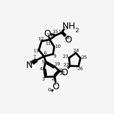 COc1ccc(C2(C#N)CCC3(CC2)OC3C(N)=O)cc1OC1CCCC1